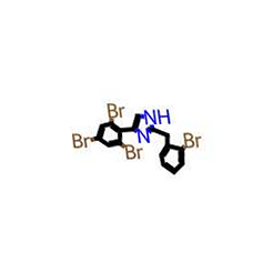 Brc1cc(Br)c(-c2c[nH]c(Cc3ccccc3Br)n2)c(Br)c1